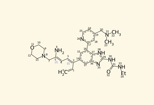 C=C/C(=C\C=C(/N)CN1CCOCC1)c1cc(-c2cc(CN(C)C)ccn2)c2[nH]c(NC(=O)NCC)nc2c1